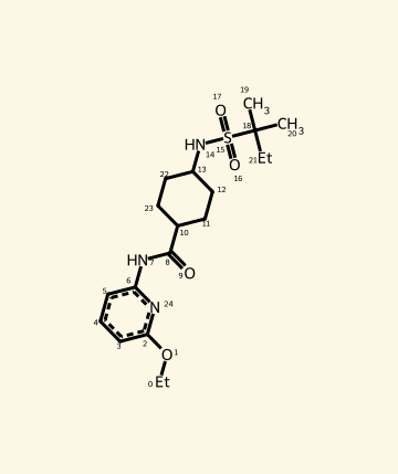 CCOc1cccc(NC(=O)C2CCC(NS(=O)(=O)C(C)(C)CC)CC2)n1